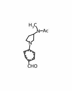 CC(=O)N(C)C1CCN(c2ccc(C=O)cc2)C1